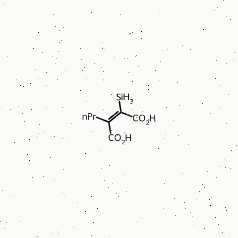 CCC/C(C(=O)O)=C(\[SiH3])C(=O)O